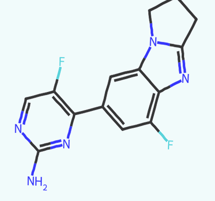 Nc1ncc(F)c(-c2cc(F)c3nc4n(c3c2)CCC4)n1